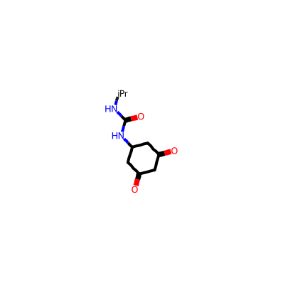 CC(C)NC(=O)NC1CC(=O)CC(=O)C1